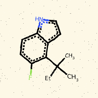 CCC(C)(C)c1c(F)ccc2[nH]ccc12